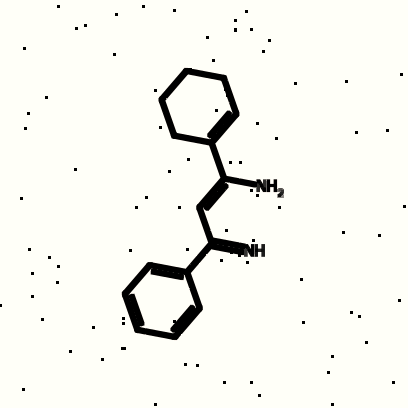 N=C(/C=C(\N)C1=CCCCC1)c1ccccc1